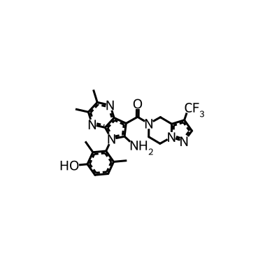 Cc1ccc(O)c(C)c1-n1c(N)c(C(=O)N2CCn3ncc(C(F)(F)F)c3C2)c2nc(C)c(C)nc21